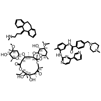 CC[C@H]1OC(=O)[C@H](C)[C@@H](O[C@H]2C[C@@](C)(OC)[C@@H](O)[C@H](C)O2)[C@H](C)[C@@H](O[C@@H]2O[C@H](C)C[C@H](N(C)C)[C@H]2O)[C@](C)(OC)C[C@@H](C)C(=O)[C@H](C)[C@@H](O)[C@]1(C)O.CNCCC=C1c2ccccc2CCc2ccccc21.Cc1ccc(NC(=O)c2ccc(CN3CCN(C)CC3)cc2)cc1Nc1nccc(-c2cccnc2)n1